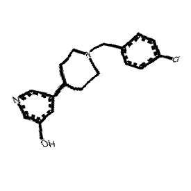 Oc1cncc(C2CCN(Cc3ccc(Cl)cc3)CC2)c1